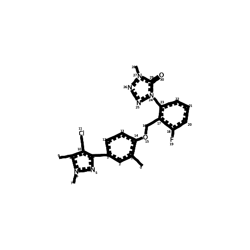 Cc1cc(-c2nn(C)c(C)c2Cl)ccc1OCc1c(F)cccc1-n1nnn(C)c1=O